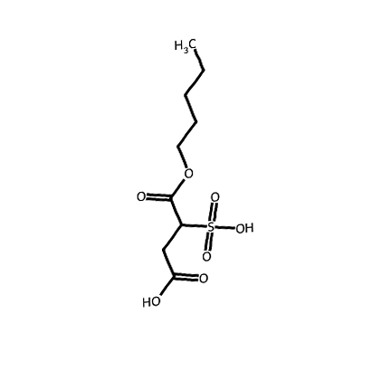 CCCCCOC(=O)C(CC(=O)O)S(=O)(=O)O